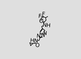 CC(CC(=O)NCc1cnn2cc(CNC(=O)C3CC3)nc2c1)C(F)(F)F